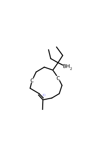 BC(CC)(CC)C1CCCC/C=C(\C)CCCC1